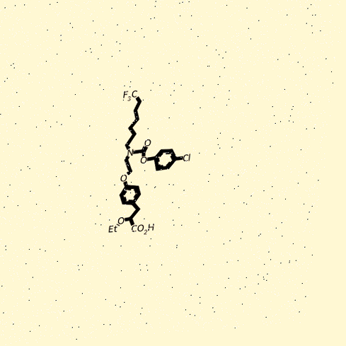 CCOC(Cc1ccc(OCCN(CCCCCCC(F)(F)F)C(=O)Oc2ccc(Cl)cc2)cc1)C(=O)O